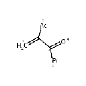 C=C(C(C)=O)C(=O)C(C)C